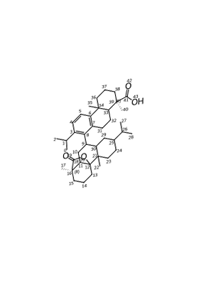 CC(C)c1ccc2c(c1C1CC3C4(CCC[C@@]3(C)C(=O)O4)C3(C)CCC(C(C)C)CC13)CCC1C2(C)CCC[C@@]1(C)C(=O)O